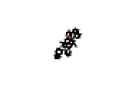 Cc1cc(N(C2=CC=Cc3ccccc3C2)c2ccccn2)c2ccc3c(C)cc(N(c4ccccn4)C4CC=Cc5ccccc54)c4c3c2c1CC4C